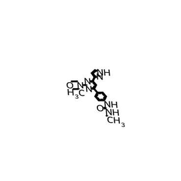 CCNC(=O)Nc1ccc(-c2cc(-c3cc[nH]n3)nc(N3CCOCC3C)n2)cc1